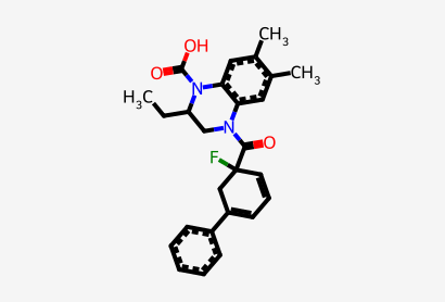 CCC1CN(C(=O)C2(F)C=CC=C(c3ccccc3)C2)c2cc(C)c(C)cc2N1C(=O)O